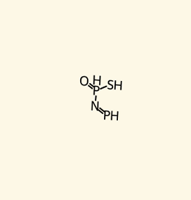 O=[PH](S)N=P